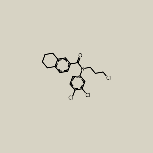 O=C(c1ccc2c(c1)CCCC2)N(CCCCl)c1ccc(Cl)c(Cl)c1